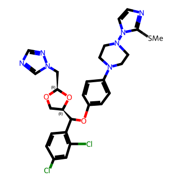 CSc1nccn1N1CCN(c2ccc(OC(c3ccc(Cl)cc3Cl)[C@H]3CO[C@@H](Cn4cncn4)O3)cc2)CC1